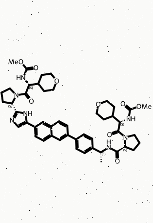 COC(=O)N[C@H](C(=O)N1CCC[C@H]1C(=O)N[C@H](C)c1ccc(-c2ccc3cc(-c4cnc([C@@H]5CCCN5C(=O)[C@@H](NC(=O)OC)C5CCOCC5)[nH]4)ccc3c2)cc1)C1CCOCC1